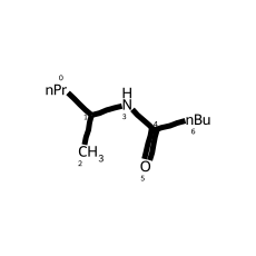 [CH2]CCC(C)NC(=O)CCCC